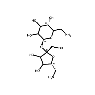 NCC1O[C@@H](O[C@]2(CO)O[C@H](CN)C(O)C2O)C(O)C(O)[C@@H]1O